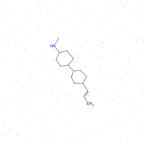 C/C=C/C1CCC(C2CCC(NI)CC2)CC1